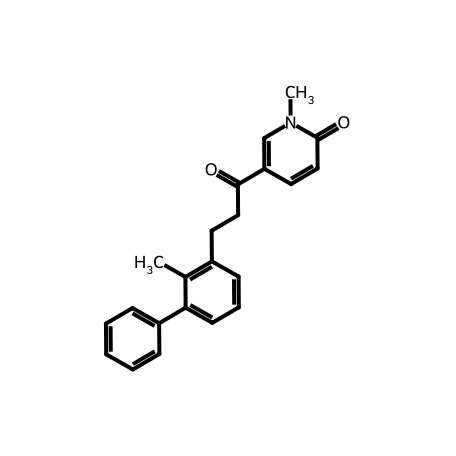 Cc1c(CCC(=O)c2ccc(=O)n(C)c2)cccc1-c1ccccc1